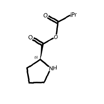 CC(C)C(=O)OC(=O)[C@@H]1CCCN1